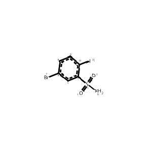 NS(=O)(=O)c1cc(Br)ccc1I